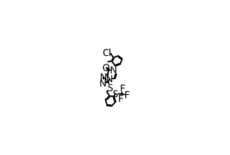 Cc1c(Cl)cccc1-n1ccn2c(SCc3ccccc3SC(F)(F)F)nnc2c1=O